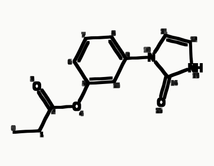 CCC(=O)Oc1cccc(-n2cc[nH]c2=O)c1